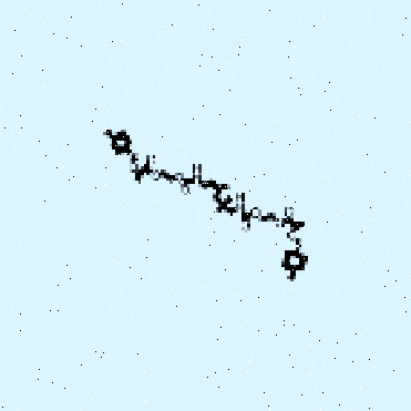 C=C(OSc1ccc(C)cc1)C(=O)OCCOC(=O)NCCC(C)CC(C)(C)CNC(=O)OCCOC(=O)C(=C)OSc1ccc(C)cc1